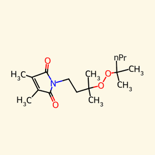 CCCC(C)(C)OOC(C)(C)CCN1C(=O)C(C)=C(C)C1=O